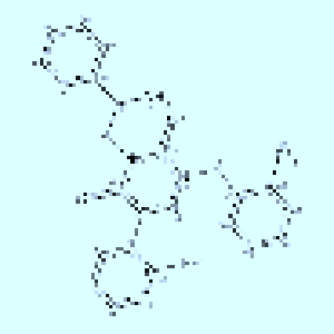 NC(Cn1c(=O)c(-c2ccccc2F)nn(Cc2ccccc2C(F)(F)F)c1=O)c1ccccc1